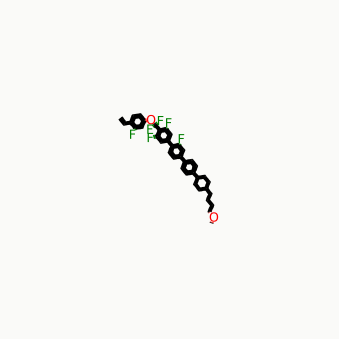 C=Cc1ccc(OC(F)(F)c2c(F)cc(-c3ccc(-c4ccc(C5CCC(CCCCOC)CC5)cc4)cc3F)cc2F)cc1F